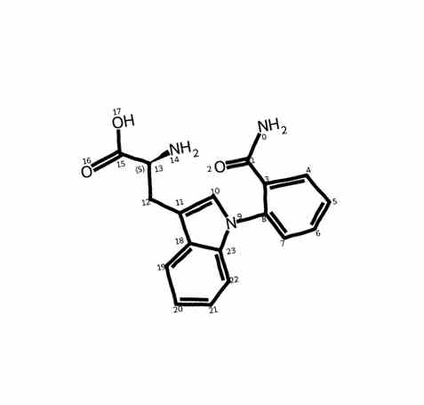 NC(=O)c1ccccc1-n1cc(C[C@H](N)C(=O)O)c2ccccc21